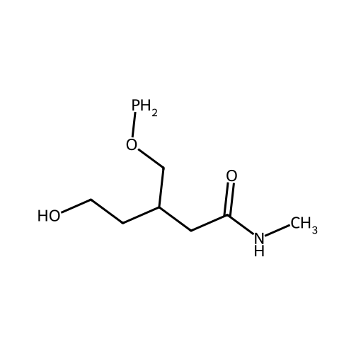 CNC(=O)CC(CCO)COP